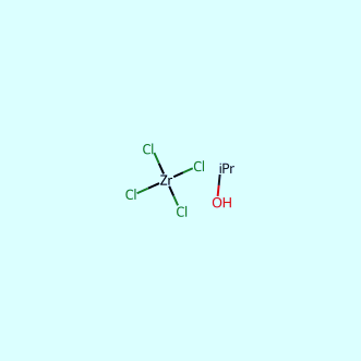 CC(C)O.[Cl][Zr]([Cl])([Cl])[Cl]